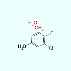 Bc1ccc(F)c(Cl)c1.O.O